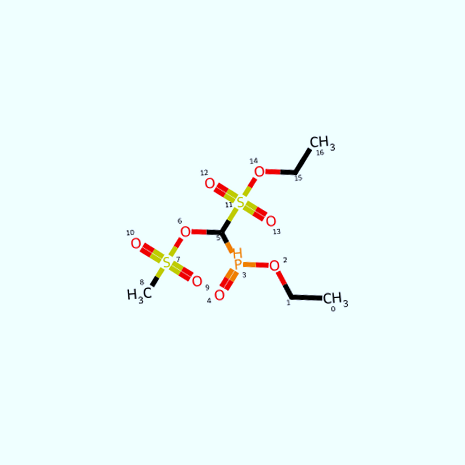 CCO[PH](=O)C(OS(C)(=O)=O)S(=O)(=O)OCC